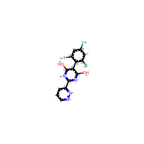 Oc1nc(-c2cccnn2)nc(O)c1-c1c(F)cc(F)cc1F